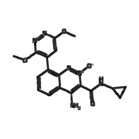 COc1cc(-c2cccc3c(N)c(C(=O)NC4CC4)[n+]([O-])nc23)c(OC)nn1